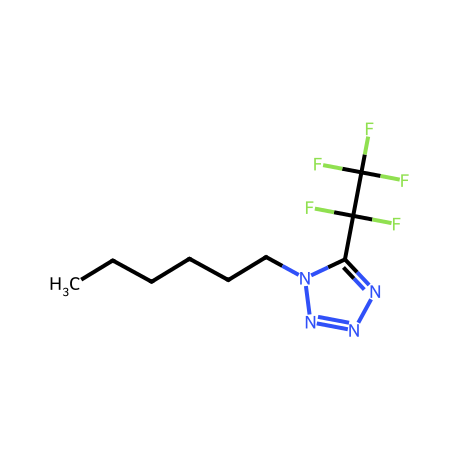 CCCCCCn1nnnc1C(F)(F)C(F)(F)F